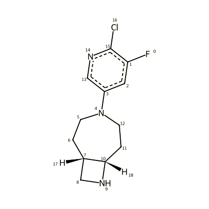 Fc1cc(N2CC[C@H]3CN[C@H]3CC2)cnc1Cl